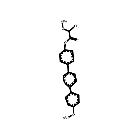 CCCCOc1ccc(-c2ccc(-c3ccc(OC(=O)C(OCCCC)C(F)(F)F)cc3)cn2)cc1